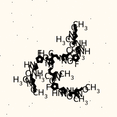 COCc1cc(C(=O)Nc2cc([C@@H]3C[C@H](Oc4nn(CCC(C)c5cn(CCC(C)c6cn(C)nc6O[C@H]6C[C@@H](c7cc(NC(=O)c8cc(COC)nn8C)n[nH]7)C[C@H]6F)nc5O[C@@H]5C[C@H](c6cc(NC(=O)c7cc(COC)nn7C)n[nH]6)C[C@H]5F)cc4C(C)C)[C@@H](F)C3)[nH]n2)n(C)n1